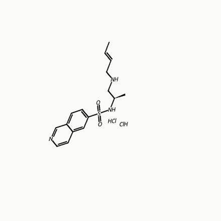 C/C=C/CNC[C@@H](C)NS(=O)(=O)c1ccc2cnccc2c1.Cl.Cl